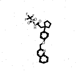 O=C(CC1(c2ccc(OCc3ccc4ccccc4n3)cc2)CCCC1)NS(=O)(=O)C(F)(F)F